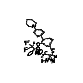 O=C(O)C(F)(F)F.O=C(O)c1[nH]nnc1Sc1ccc(-c2ccc(N3CCCCC3)cc2)c(Cl)c1